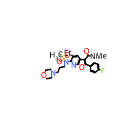 CCc1cc2c(C(=O)NC)c(-c3ccc(F)cc3)oc2nc1N(CCCN1CCOCC1)S(C)(=O)=O